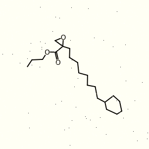 CCCOC(=O)C1(CCCCCCCCC2CCCCC2)CO1